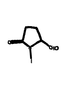 O=CC1CCC(=O)N1I